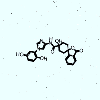 O=C1O[C@]2(CC[C@@](O)(C(=O)Nc3cn(-c4cc(O)ccc4O)cn3)CC2)c2ccccc21